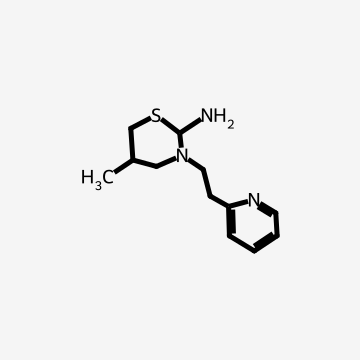 CC1CSC(N)N(CCc2ccccn2)C1